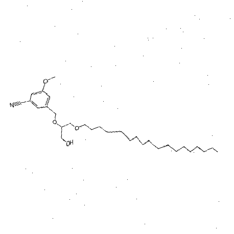 CCCCCCCCCCCCCCCCCCOCC(CO)OCc1cc(C#N)cc(OC)c1